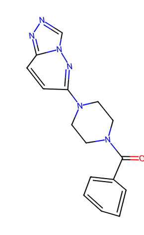 O=C(c1ccccc1)N1CCN(c2ccc3nncn3n2)CC1